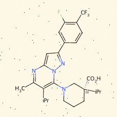 Cc1nc2cc(-c3ccc(C(F)(F)F)c(F)c3)nn2c(N2CCC[C@](C(=O)O)(C(C)C)C2)c1C(C)C